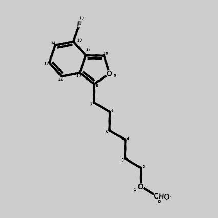 O=[C]OCCCCCCc1occ2c(F)cccc12